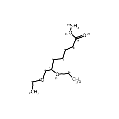 CCOCC(CCCCC(=O)O[SiH3])OCC